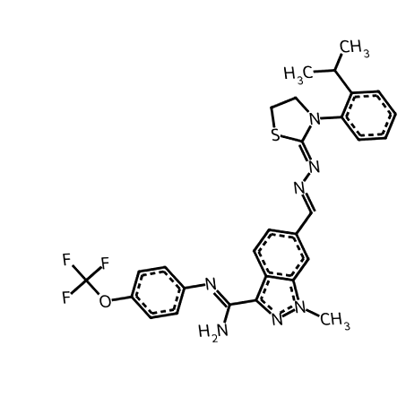 CC(C)c1ccccc1N1CCS/C1=N\N=C\c1ccc2c(C(N)=Nc3ccc(OC(F)(F)F)cc3)nn(C)c2c1